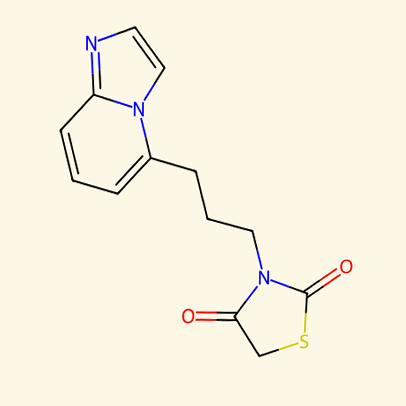 O=C1CSC(=O)N1CCCc1cccc2nccn12